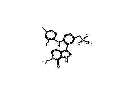 Cn1ccc2c(-c3cc(CS(C)(=O)=O)ccc3Nc3ccc(F)cc3F)c[nH]c2c1=O